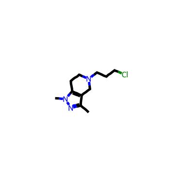 Cc1nn(C)c2c1CN(CCCCl)CC2